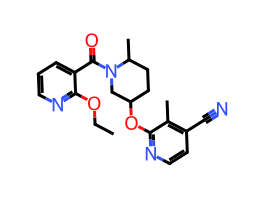 CCOc1ncccc1C(=O)N1CC(Oc2nccc(C#N)c2C)CCC1C